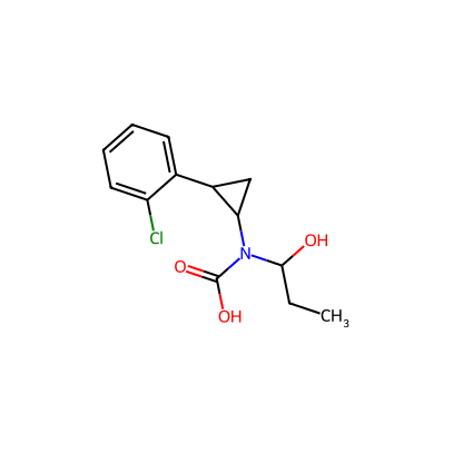 CCC(O)N(C(=O)O)C1CC1c1ccccc1Cl